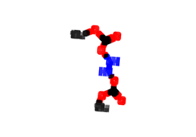 CC(C)(C)OC(=O)ONNOC(=O)OC(C)(C)C